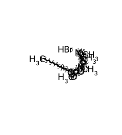 Br.CCCCCCCCCCCCCCOc1cc(CN(C(C)=O)c2cccc(CC3(C)CN=CC=C3C)c2)ccc1OC